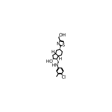 Cc1cc(NC[C@@H]2[C@H]3CC[C@H](c4nc(CO)cs4)C[C@H]3C[C@@H]2O)ccc1Cl